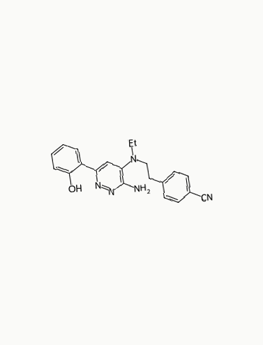 CCN(CCc1ccc(C#N)cc1)c1cc(-c2ccccc2O)nnc1N